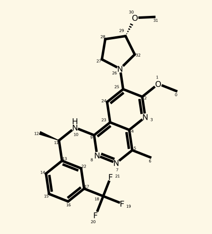 COc1nc2c(C)nnc(N[C@H](C)c3cccc(C(F)(F)F)c3)c2cc1N1CC[C@H](OC)C1